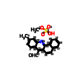 COS(=O)(=O)O.Cc1ccc2c(C=O)c3ccc4ccccc4c3nc2c1